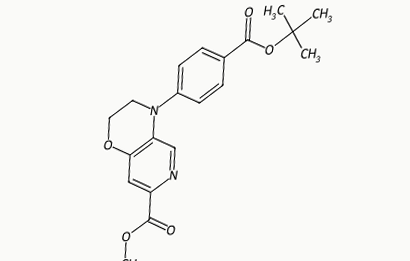 COC(=O)c1cc2c(cn1)N(c1ccc(C(=O)OC(C)(C)C)cc1)CCO2